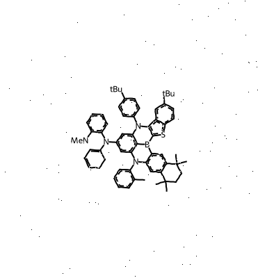 CNc1ccccc1N(C1=CC=CCC1)c1cc2c3c(c1)N(c1ccc(C(C)(C)C)cc1)c1c(sc4ccc(C(C)(C)C)cc14)B3c1cc3c(cc1N2c1ccccc1C)C(C)(C)CCC3(C)C